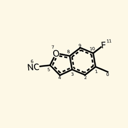 Cc1cc2cc(C#N)oc2cc1F